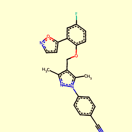 Cc1nn(-c2ccc(C#N)cc2)c(C)c1COc1ccc(F)cc1-c1ccno1